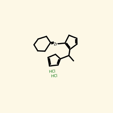 CC(C1=CC=CC1)C1=[C]([Zr]=[C]2CCCCC2)CC=C1.Cl.Cl